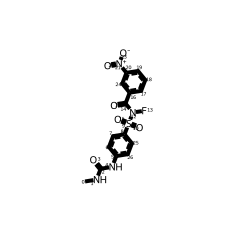 CNC(=O)Nc1ccc(S(=O)(=O)N(F)C(=O)c2cccc([N+](=O)[O-])c2)cc1